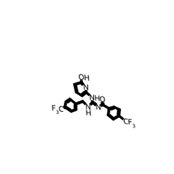 O=C(/N=C(/NCc1ccc(C(F)(F)F)cc1)Nc1cccc(O)n1)c1ccc(C(F)(F)F)cc1